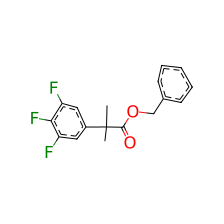 CC(C)(C(=O)OCc1ccccc1)c1cc(F)c(F)c(F)c1